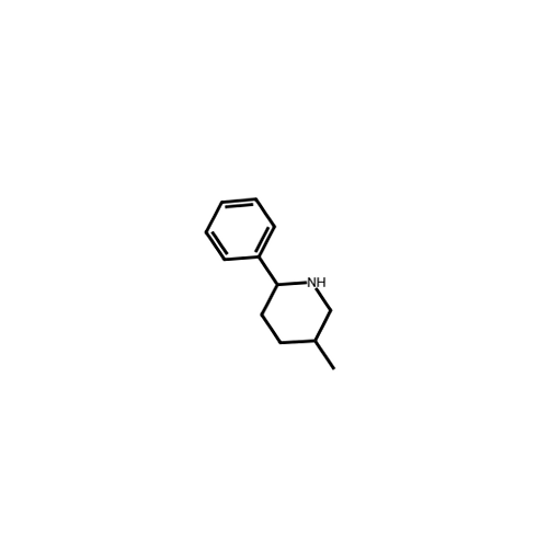 CC1CCC(c2ccccc2)NC1